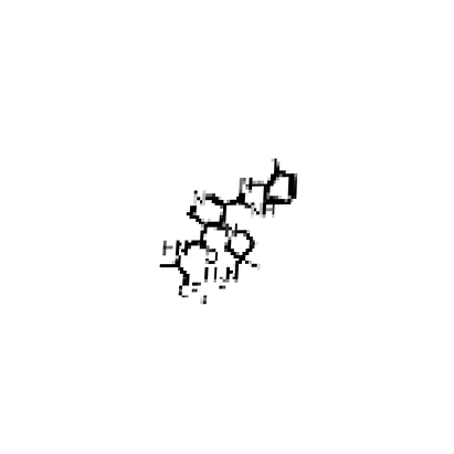 Cc1cccc2[nH]c(-c3cncc(C(=O)NC(C)CC(F)(F)F)c3N3CC[C@](C)(N)C3)nc12